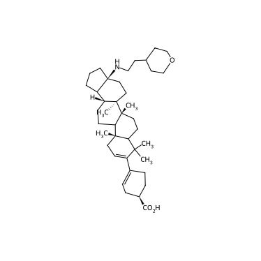 CC1(C)C(C2=CC[C@H](C(=O)O)CC2)=CC[C@@]2(C)C1CC[C@]1(C)C2CC[C@@H]2C3CCC[C@]3(NCCC3CCOCC3)CC[C@]21C